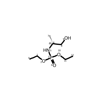 CCOP(=O)(N[C@H](C)CO)OCC